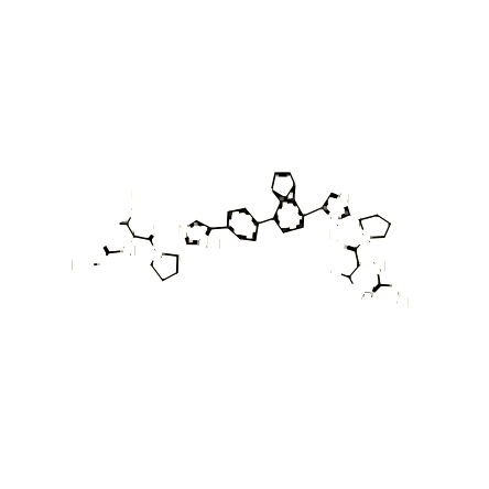 COC(=O)N[C@H](C(=O)N1CCC[C@H]1c1ncc(-c2ccc(-c3ccc(-c4cnc([C@@H]5CCCN5C(=O)[C@H](NC(=O)OC)C(C)C)[nH]4)c4c3C3C=CC4C3)cc2)[nH]1)C(C)C